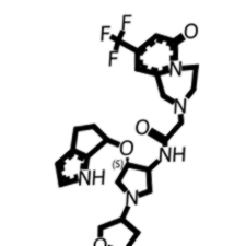 O=C(CN1CCn2c(cc(C(F)(F)F)cc2=O)C1)NC1CN(C2CCOC2)C[C@@H]1OC1CCc2cc[nH]c21